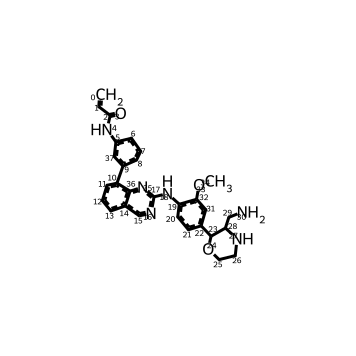 C=CC(=O)Nc1cccc(-c2cccc3cnc(Nc4ccc(C5OCCNC5CN)cc4OC)nc23)c1